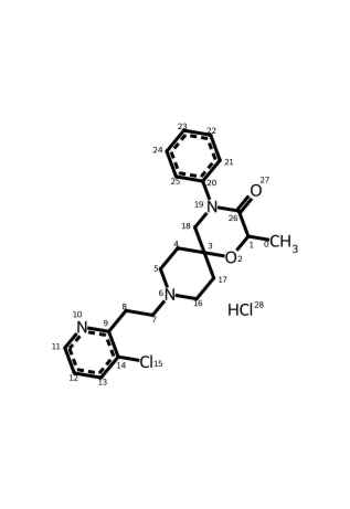 CC1OC2(CCN(CCc3ncccc3Cl)CC2)CN(c2ccccc2)C1=O.Cl